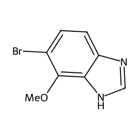 COc1c(Br)ccc2nc[nH]c12